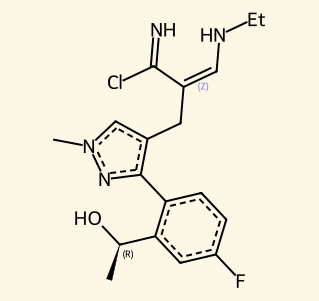 CCN/C=C(/Cc1cn(C)nc1-c1ccc(F)cc1[C@@H](C)O)C(=N)Cl